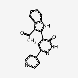 CC(=O)c1c(-c2cc(-c3ccncc3)n[nH]c2=O)[nH]c2ccccc12